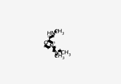 CCN(C)CCN1CCO[C@@H](CCNC)C1